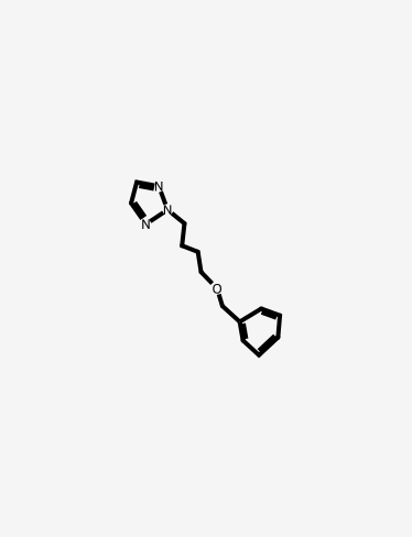 c1ccc(COCCCCn2nccn2)cc1